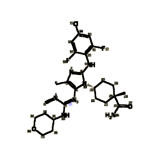 C=N/C(=N\c1c(C)nc(Nc2c(F)cc(Cl)cc2F)n1[C@H]1CC[C@@](C)(C(N)=O)CC1)NC1CCOCC1